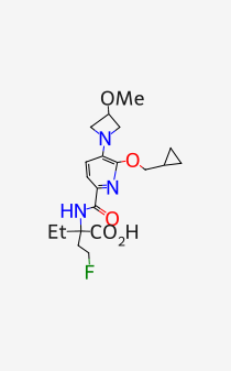 CCC(CCF)(NC(=O)c1ccc(N2CC(OC)C2)c(OCC2CC2)n1)C(=O)O